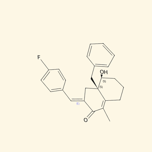 CC1=C2CCC[C@H](O)[C@@]2(Cc2ccccc2)C/C(=C\c2ccc(F)cc2)C1=O